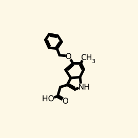 CC1=CC2NC=C(CC(=O)O)C2C=C1OCc1ccccc1